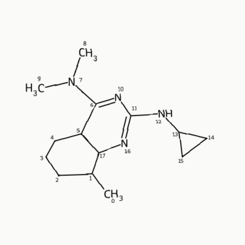 CC1CCCC2C(N(C)C)=NC(NC3CC3)=NC12